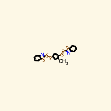 Cc1cc(SSc2nc3ccccc3s2)ccc1SSc1nc2ccccc2s1